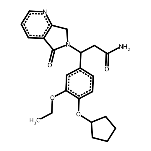 CCOc1cc(C(CC(N)=O)N2Cc3ncccc3C2=O)ccc1OC1CCCC1